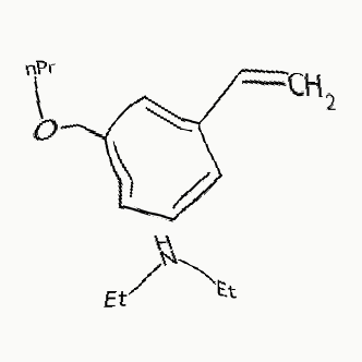 C=Cc1cccc(OCCC)c1.CCNCC